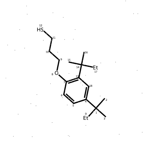 CCC(C)(C)c1ccc(OCCCS)c(C(C)(C)CC)c1